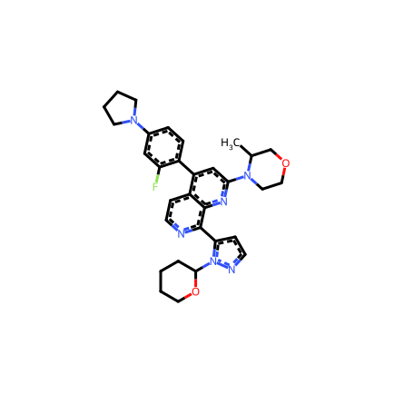 CC1COCCN1c1cc(-c2ccc(N3CCCC3)cc2F)c2ccnc(-c3ccnn3C3CCCCO3)c2n1